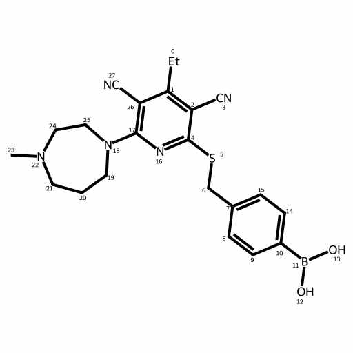 CCc1c(C#N)c(SCc2ccc(B(O)O)cc2)nc(N2CCCN(C)CC2)c1C#N